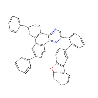 C1=Cc2c(oc3ccc(-c4ccccc4-c4cnc5c6c(c7cc(-c8ccccc8)ccc7c5n4)CC(c4ccccc4)C=C6)cc23)CC1